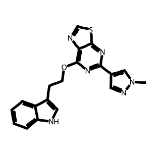 Cn1cc(-c2nc(OCCc3c[nH]c4ccccc34)c3ncsc3n2)cn1